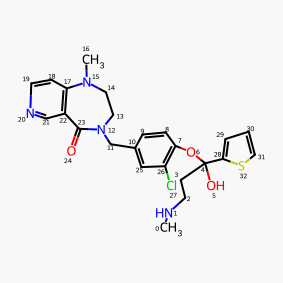 CNCCC(O)(Oc1ccc(CN2CCN(C)c3ccncc3C2=O)cc1Cl)c1cccs1